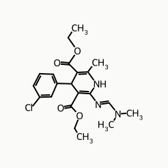 CCOC(=O)C1=C(C)NC(N=CN(C)C)=C(C(=O)OCC)C1c1cccc(Cl)c1